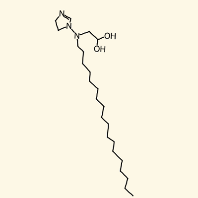 CCCCCCCCCCCCCCCCCCN(CC(O)O)N1C=NCC1